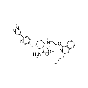 CCCCc1cc2ccccc2c(OCC[N+](C)(C)[C@H]2CCC(Cc3ccc(-c4cnn(C)c4)nc3)C[C@]2(CO)C(N)=O)n1